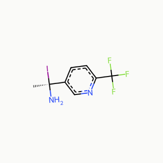 C[C@](N)(I)c1ccc(C(F)(F)F)nc1